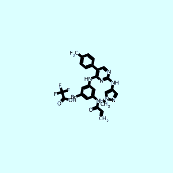 C=CC(=O)Nc1cc(Br)cc(Nc2nc(Nc3cnn(C)c3)ncc2-c2ccc(C(F)(F)F)cc2)c1.O=C(O)C(F)(F)F